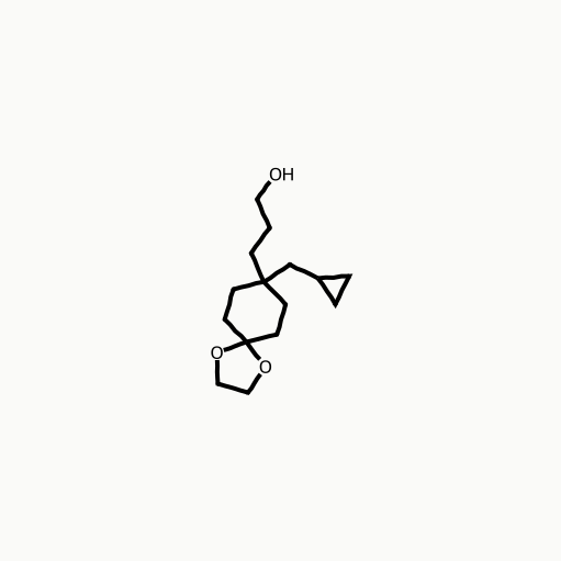 OCCCC1(CC2CC2)CCC2(CC1)OCCO2